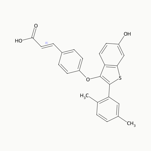 Cc1ccc(C)c(-c2sc3cc(O)ccc3c2Oc2ccc(/C=C/C(=O)O)cc2)c1